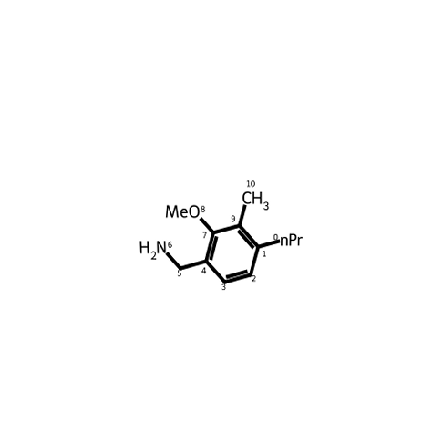 CCCc1ccc(CN)c(OC)c1C